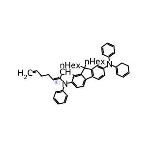 C=CCC/C=C(\C)N(c1ccccc1)c1ccc2c(c1)C(CCCCCC)(CCCCCC)c1cc(N(C3=CC=CCC3)c3ccccc3)ccc1-2